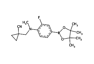 CN(CC1(C#N)CC1)c1ccc(B2OC(C)(C)C(C)(C)O2)cc1F